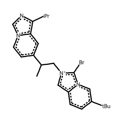 CC(C)c1ncn2ccc(C(C)C[n+]3cc4ccc(C(C)(C)C)cn4c3Br)cc12